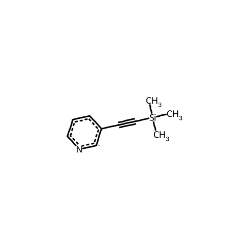 C[Si](C)(C)C#Cc1[c]nccc1